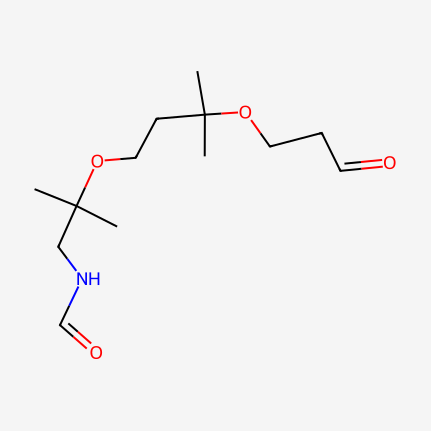 CC(C)(CCOC(C)(C)CNC=O)OCCC=O